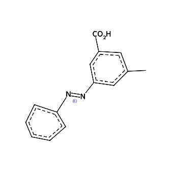 Cc1cc(/N=N/c2ccccc2)cc(C(=O)O)c1